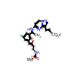 CC(Nc1ccn2ncc(CCC(=O)O)c2n1)c1cc(F)cc2cc(CCNC(=O)OC(C)(C)C)oc12